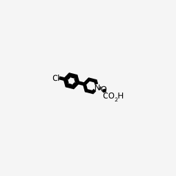 O=C(O)ON1CCC(c2ccc(Cl)cc2)CC1